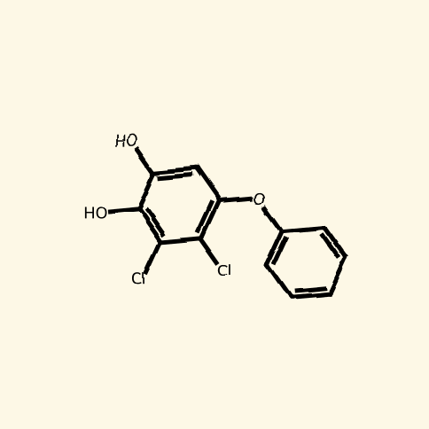 Oc1cc(Oc2ccccc2)c(Cl)c(Cl)c1O